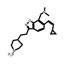 BN1CCC(CCc2noc3c(CN(C)C)c(/C=C\C4CC4)ccc23)CC1